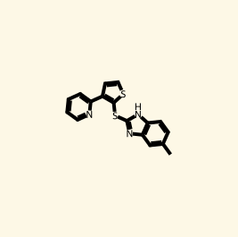 Cc1ccc2[nH]c(Sc3sccc3-c3ccccn3)nc2c1